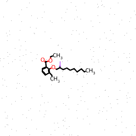 CCCCCCCCC(I)COc1c(CC)cccc1C(=O)OCC